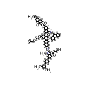 COc1ccc2c(Cl)c(OC(=O)c3ccc4c(/C=N/N=C5c6ccccc6-c6ccccc65)c(OC(=O)c5ccc(OCCCOCC6CO6)cc5-c5ccc6cc(/C=N/N=C(\C)c7cc(-c8ccc(-c9cc(C)cc(C)c9)cc8)ccc7OC(=O)CCS)ccc6c5)ccc4c3)ccc2c1